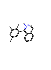 Cc1cc(C)c(C)c(-c2c3ccccc3cc[n+]2C)c1